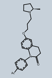 CC(=O)c1ccc(N2C(=O)CCc3cc(OCCCN4CCC[C@H]4C)ccc32)cc1